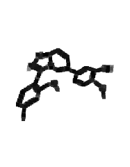 COc1ccc(-c2ccc3nnc(-c4ccc(C)cc4OC)n3c2)cc1O